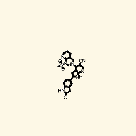 CN(c1ncccc1CNc1c(C#N)cnc2[nH]c(-c3ccc4c(c3)CC(=O)N4)cc12)S(C)(=O)=O